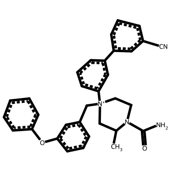 CC1C[N+](Cc2cccc(Oc3ccccc3)c2)(c2cccc(-c3cccc(C#N)c3)c2)CCN1C(N)=O